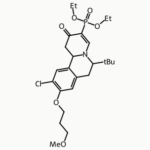 CCOP(=O)(OCC)C1=CN2C(CC1=O)c1cc(Cl)c(OCCCOC)cc1CC2C(C)(C)C